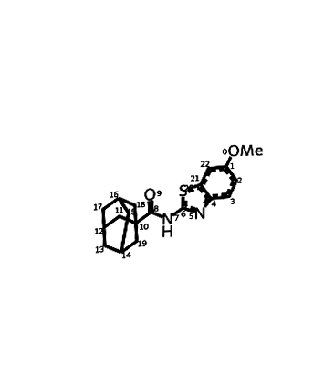 COc1ccc2nc(NC(=O)C34CC5CC(CC(C5)C3)C4)sc2c1